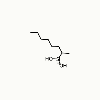 CCCCCCC(C)[SiH](O)O